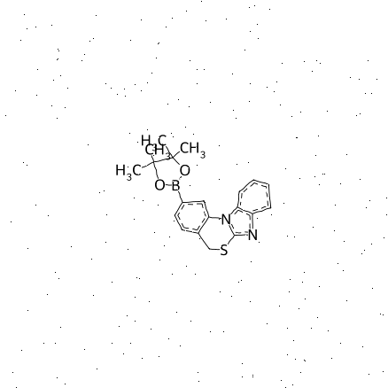 CC1(C)OB(c2ccc3c(c2)-n2c(nc4ccccc42)SC3)OC1(C)C